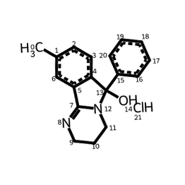 Cc1ccc2c(c1)C1=NCCCN1C2(O)c1ccccc1.Cl